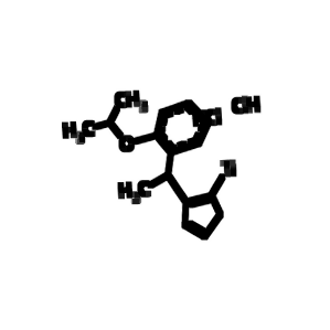 CC(C)Oc1ccccc1C(C)C1=[C]([Ti])CC=C1.Cl.Cl